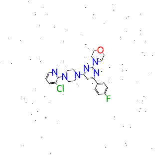 C[C@@H]1CN(c2ncccc2Cl)CCN1c1cc(-c2ccc(F)cc2)nc(N2CCOC[C@H]2C)n1